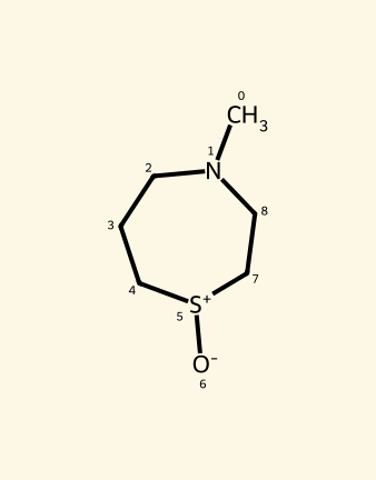 CN1CCC[S+]([O-])CC1